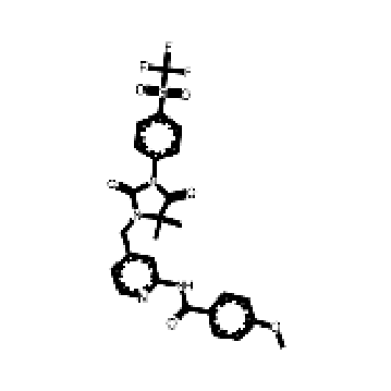 COc1ccc(C(=O)Nc2cc(CN3C(=O)N(c4ccc(S(=O)(=O)C(F)(F)F)cc4)C(=O)C3(C)C)ccn2)cc1